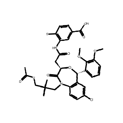 COc1cccc([C@H]2O[C@H](CC(=O)Nc3cc(C(=O)O)ccc3F)C(=O)N(CC(C)(C)COC(C)=O)c3ccc(Cl)cc32)c1OC